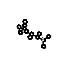 c1ccc(-c2cc(-c3ccccc3)nc(-c3ccc(-c4ccc(-c5ccc6c(c5)-c5cc7ccccc7cc5C6(c5ccccc5)c5ccccc5)c5ccccc45)c4ccccc34)n2)cc1